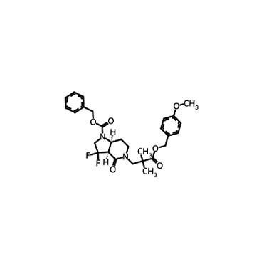 COc1ccc(COC(=O)C(C)(C)CN2CC[C@H]3[C@@H](C2=O)C(F)(F)CN3C(=O)OCc2ccccc2)cc1